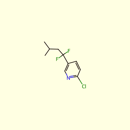 CC(C)CC(F)(F)c1ccc(Cl)nc1